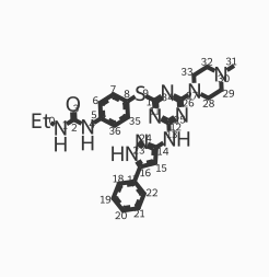 CCNC(=O)Nc1ccc(Sc2nc(Nc3cc(-c4ccccc4)[nH]n3)nc(N3CCN(C)CC3)n2)cc1